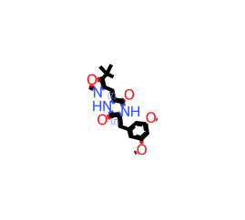 COc1cc(/C=c2\[nH]c(=O)/c(=C/c3ncoc3C(C)(C)C)[nH]c2=O)cc(OC)c1